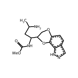 COC(=O)NC(CC(C)N)C1COc2ccc3cn[nH]c3c2O1